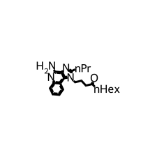 CCCCCCC(=O)CCCn1c(CCC)nc2c(N)nc3ccccc3c21